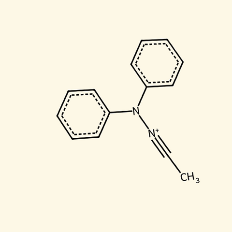 CC#[N+]N(c1ccccc1)c1ccccc1